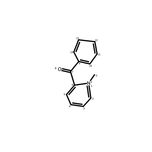 C[n+]1ccccc1C(=O)c1ccccc1